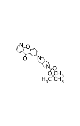 CC(C)(C)OC(=O)N1CC2CN(c3ccc4oc5ncccc5c(=O)c4c3)CC2C1